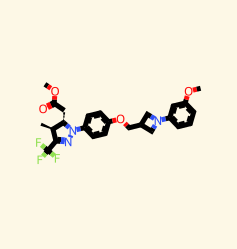 COC(=O)C[C@H]1[C@H](C)C(C(F)(F)F)=NN1c1ccc(OCC2CN(c3cccc(OC)c3)C2)cc1